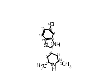 C[C@@H]1C[C@H](C2Nc3cc(Cl)ccc3S2)C[C@H](C)N1